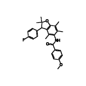 COc1ccc(C(=O)Nc2c(C)c(C)c3c(c2C)C(c2ccc(F)cc2)C(C)(C)O3)cc1